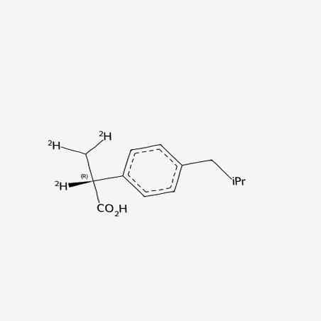 [2H]C([2H])[C@@]([2H])(C(=O)O)c1ccc(CC(C)C)cc1